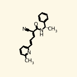 Cc1cccc(/C=C/C=C(\C#N)C(=O)N[C@@H](C)c2ccccc2)n1